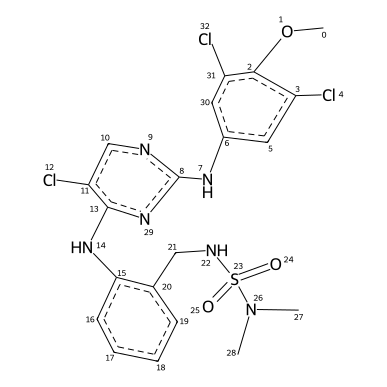 COc1c(Cl)cc(Nc2ncc(Cl)c(Nc3ccccc3CNS(=O)(=O)N(C)C)n2)cc1Cl